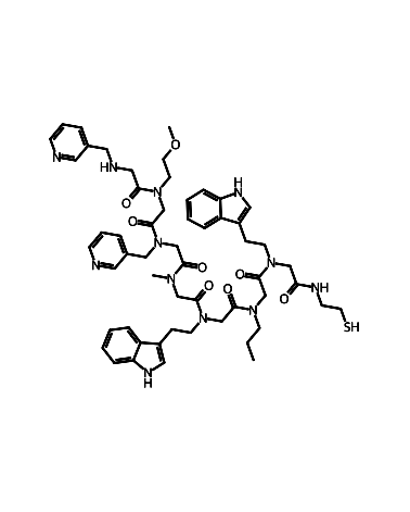 CCCN(CC(=O)N(CCc1c[nH]c2ccccc12)CC(=O)NCCS)C(=O)CN(CCc1c[nH]c2ccccc12)C(=O)CN(C)C(=O)CN(Cc1cccnc1)C(=O)CN(CCOC)C(=O)CNCc1cccnc1